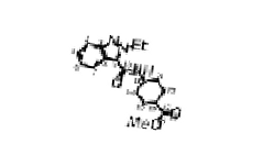 CCn1nc2ccccc2c1C(=O)NC1CCC(C(=O)OC)CC1